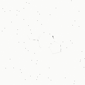 CCNC(=O)NC1CCC[C@@H]1O